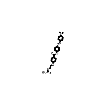 CC[C@@H](C)C(=O)OCCOc1ccc(C(=O)Nc2ccc(/N=N/c3ccc(N(C)C)cc3)cc2)cc1